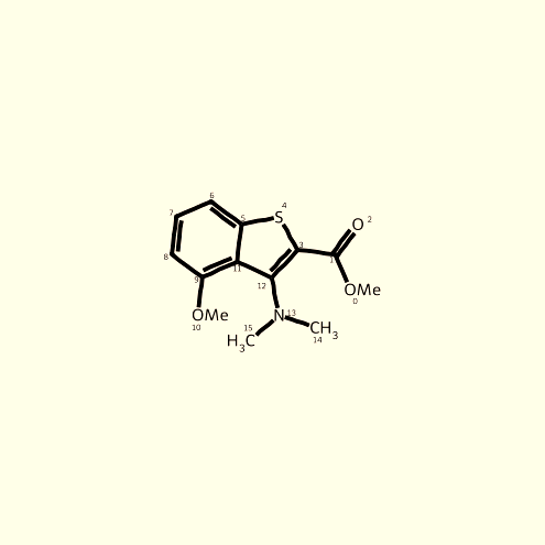 COC(=O)c1sc2cccc(OC)c2c1N(C)C